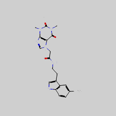 COc1ccc2[nH]cc(CCNC(=O)Cn3cnc4c3c(=O)n(C)c(=O)n4C)c2c1